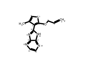 C=CCOc1scc(C)c1-c1nc2nccnc2[nH]1